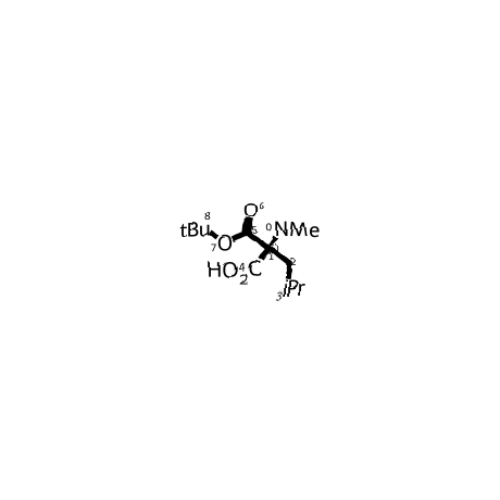 CN[C@@](CC(C)C)(C(=O)O)C(=O)OC(C)(C)C